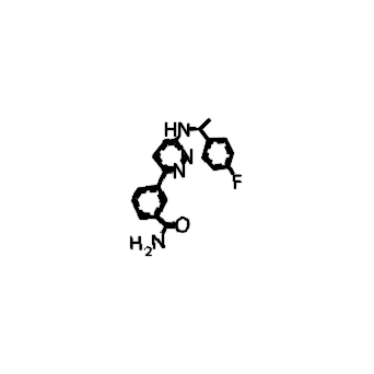 CC(Nc1ccc(-c2cccc(C(N)=O)c2)nn1)c1ccc(F)cc1